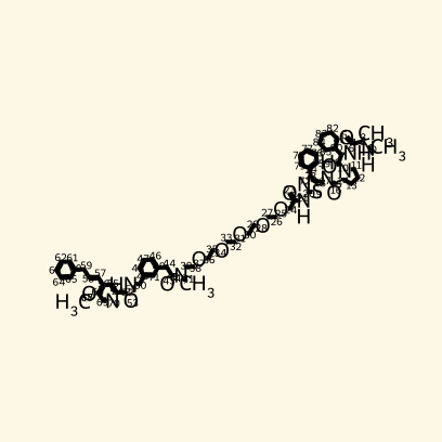 CN[C@@H](C)C(=O)N[C@H](C(=O)N1CCC[C@H]1C(=O)Nc1sc(NC(=O)COCCOCCOCCOCCOCCN(C)C(=O)Cc2cccc(CNC(=O)c3cc(/C=C/Cc4ccccc4)c(OC)cn3)c2)nc1-c1ccccc1)C1CCCCC1